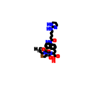 CCC1SC[C@@H](C(=O)N[C@@H](Cc2ccc(NC(=O)CCCCNC3=NCCCN3)cc2)C(=O)O)N1S(=O)(=O)c1ccccc1